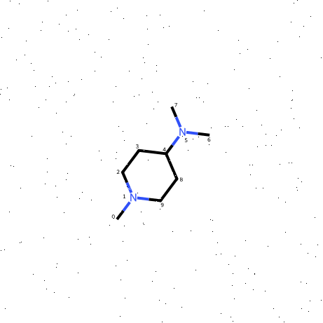 CN1CC[C](N(C)C)CC1